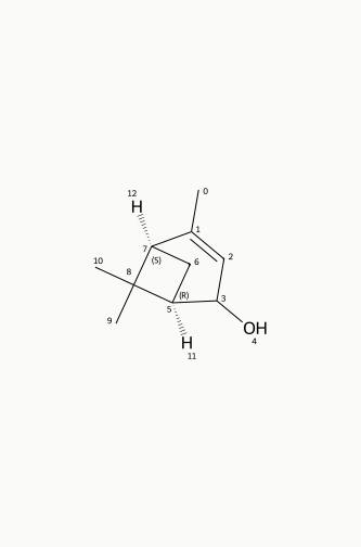 CC1=CC(O)[C@@H]2C[C@H]1C2(C)C